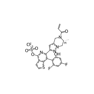 C=CC(=O)N1Cc2cc(-c3nc(OS(=O)(=O)C(F)(F)F)c4ccsc4c3-c3c(O)cc(F)cc3F)nn2C[C@H]1C